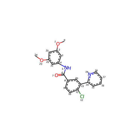 COc1cc(NC(=O)c2ccc(Cl)c(-c3ccccn3)c2)cc(OC)c1